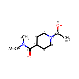 CON(C)C(=O)C1CCN(B(C)O)CC1